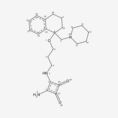 Nc1c(NCCCOC2(CN3CCCCC3)CCCc3ccccc32)c(=O)c1=O